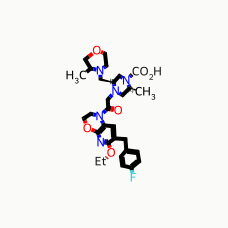 CCOc1nc2c(cc1Cc1ccc(F)cc1)N(C(=O)CN1C[C@@H](C)N(C(=O)O)C[C@@H]1CN1CCOCC1C)CCO2